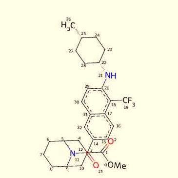 COC(=O)C1CC2CCCC(C1)N2C(=O)c1ccc2c(C(F)(F)F)c(N[C@H]3CC[C@@H](C)CC3)ccc2c1